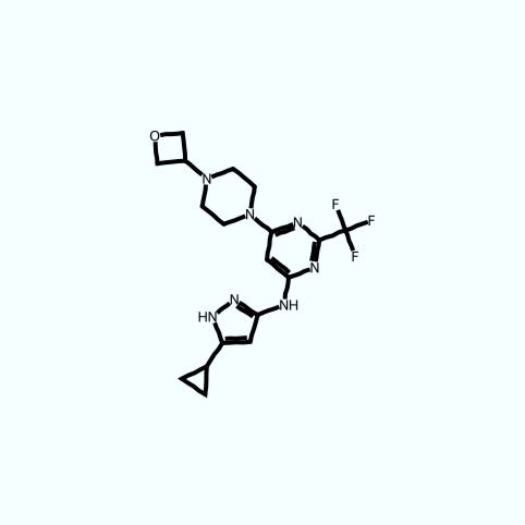 FC(F)(F)c1nc(Nc2cc(C3CC3)[nH]n2)cc(N2CCN(C3COC3)CC2)n1